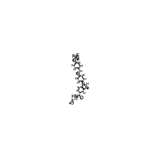 COCCNC(=O)c1ccc2c(c1)ncn2-c1ccc(OCc2ccc(OC(F)(F)F)cc2)cc1